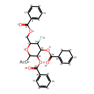 CC(=O)OC1OC(COC(=O)c2ccccc2)C(F)C(OC(=O)C2=CC=CCC2)C1OC(=O)c1ccccc1